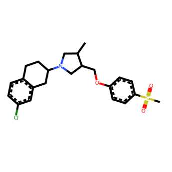 CC1CN(C2CCc3ccc(Cl)cc3C2)CC1COc1ccc(S(C)(=O)=O)cc1